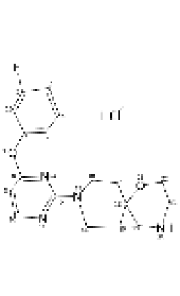 Cl.Fc1cccc(Oc2ccnc(N3CCC4(CC3)CNCCO4)n2)c1